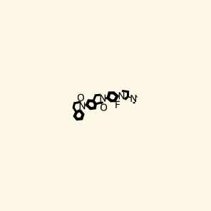 CN(C)[C@@H]1CCN(c2ccc(N3CCc4cc(N5C(=O)CCc6ccccc65)ccc4C3=O)cc2F)C1